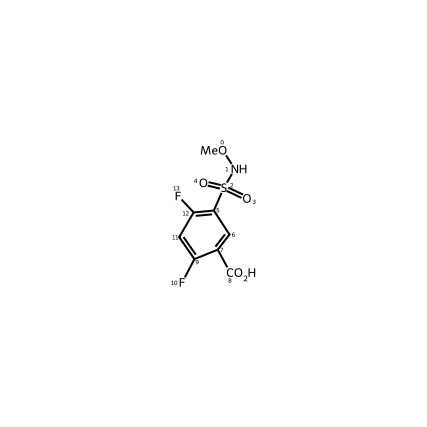 CONS(=O)(=O)c1cc(C(=O)O)c(F)cc1F